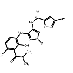 CC[C@@H](Nc1n[s+]([O-])nc1Nc1ccc(C(F)(F)F)c(C(=O)N(C)C)c1O)c1cc(C(C)C)co1